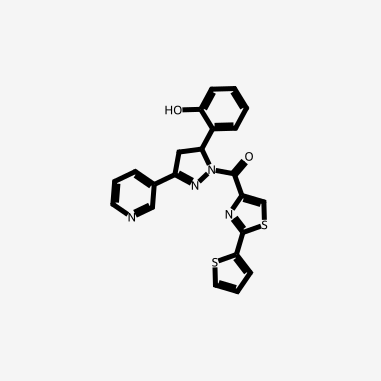 O=C(c1csc(-c2cccs2)n1)N1N=C(c2cccnc2)CC1c1ccccc1O